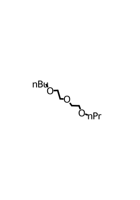 C[CH]COCCOCCOCCCC